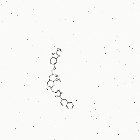 Cc1nc2cc(OCC(O)CN3CCN(Cc4nnc(-c5ccc6ccccc6c5)o4)C[C@@H]3C)ccc2s1